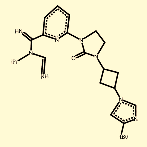 CC(C)N(C=N)C(=N)c1cccc(N2CCN(C3CC(n4cnc(C(C)(C)C)c4)C3)C2=O)n1